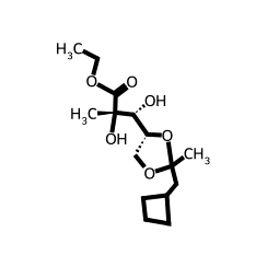 CCOC(=O)[C@@](C)(O)[C@H](O)[C@H]1COC(C)(CC2CCC2)O1